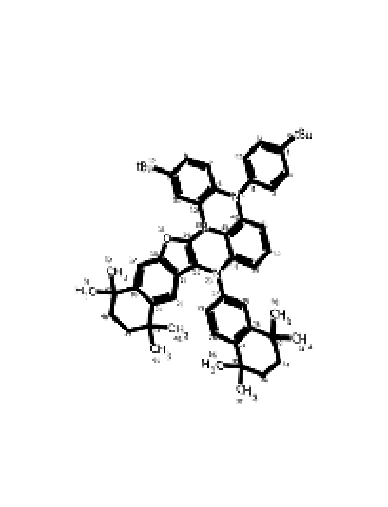 CC(C)(C)c1ccc(N2c3ccc(C(C)(C)C)cc3B3c4oc5cc6c(cc5c4N(c4ccc5c(c4)C(C)(C)CCC5(C)C)c4cccc2c43)C(C)(C)CCC6(C)C)cc1